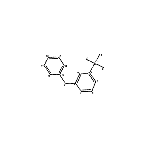 C[Si](C)(C)c1cccc([CH]c2ccccc2)c1